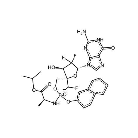 CC(C)OC(=O)[C@H](C)NP(=O)(OC[C@@]1(C(F)F)O[C@@H](n2cnc3c(=O)[nH]c(N)nc32)C(F)(F)[C@@H]1O)Oc1ccc2ccccc2c1